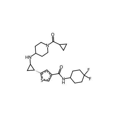 O=C(NC1CCC(F)(F)CC1)c1csc([C@@H]2CC2NC2CCN(C(=O)C3CC3)CC2)c1